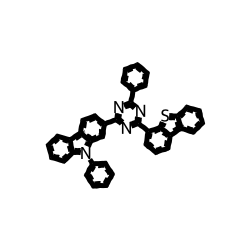 c1ccc(-c2nc(-c3ccc4c5ccccc5n(-c5ccccc5)c4c3)nc(-c3cccc4c3sc3ccccc34)n2)cc1